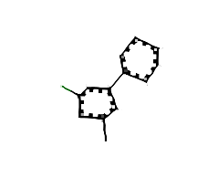 Cc1cc(Cl)cc(-c2ccccc2)c1